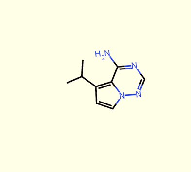 CC(C)c1ccn2ncnc(N)c12